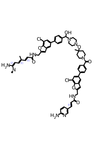 C=N\C(N)=C/C=C(C)/C=C/C(=O)NCc1cc2cc(-c3ccc(C(O)N4CCN(OC5(C)CCN(C(=O)c6ccc(-c7cc(Cl)c8oc(CNC(=O)/C=C/c9ccc(N)nc9)cc8c7)cc6)CC5)CC4)cc3)cc(Cl)c2o1